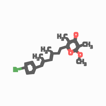 COc1oc(CC/C(C)=C/C(C)=C/c2ccc(Br)cc2)c(C)c(=O)c1C